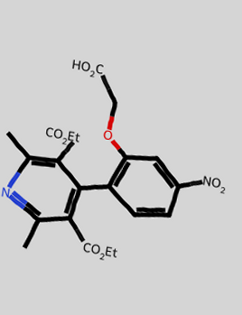 CCOC(=O)c1c(C)nc(C)c(C(=O)OCC)c1-c1ccc([N+](=O)[O-])cc1OCC(=O)O